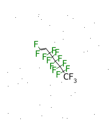 FC(F)=CC(F)(F)C(F)(F)C(F)(F)C(F)(F)C(F)(F)C(F)(F)F